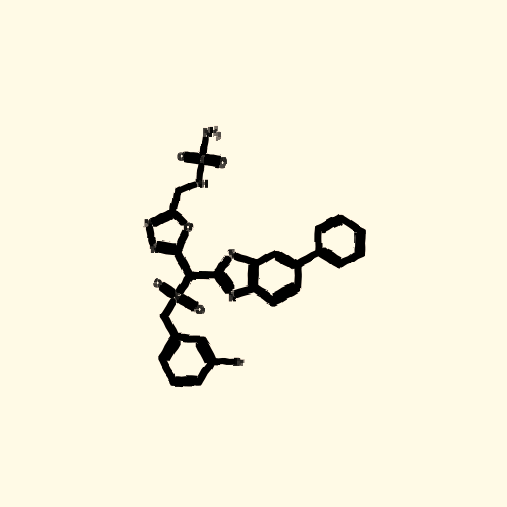 NS(=O)(=O)NCc1nnc(C(c2nc3ccc(-c4ccccc4)cc3s2)S(=O)(=O)Cc2cccc(Br)c2)o1